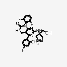 Cc1cc(F)ccc1-c1nc(NC(CO)(CO)CO)nc2c1CNC(=O)N2c1c(F)cccc1F